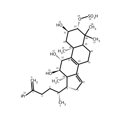 C=C(CC[C@@H](C)[C@H]1CC=C2C3=C([C@@H](O)[C@H](O)[C@@]21C)[C@@]1(C)C[C@@H](O)[C@H](OS(=O)(=O)O)C(C)(C)C1CC3)C(C)C